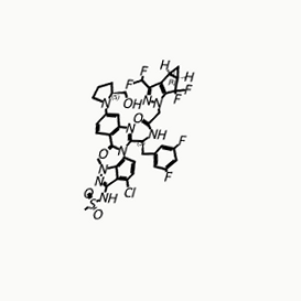 Cn1nc(NS(C)(=O)=O)c2c(Cl)ccc(-n3c([C@H](Cc4cc(F)cc(F)c4)NC(=O)Cn4nc(C(F)F)c5c4C(F)(F)[C@@H]4C[C@H]54)nc4cc(N5CCC[C@H]5CO)ccc4c3=O)c21